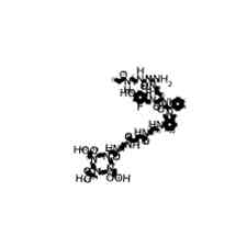 CCC(=O)NCCNC(=O)/N=C(/N)NCCC[C@@H](NC(=O)[C@H](c1ccccc1)N1Cc2cccc(NCCCNC(=O)CCC(=O)NCCNC(=O)CN3CCN(CC(=O)O)CCN(CC(=O)O)CCN(CC(=O)O)CC3)c2C1)C(=O)NCc1c(F)cc(O)cc1F